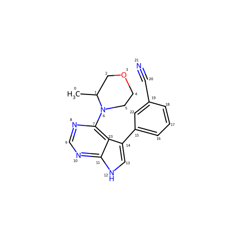 CC1COCCN1c1ncnc2[nH]cc(-c3cccc(C#N)c3)c12